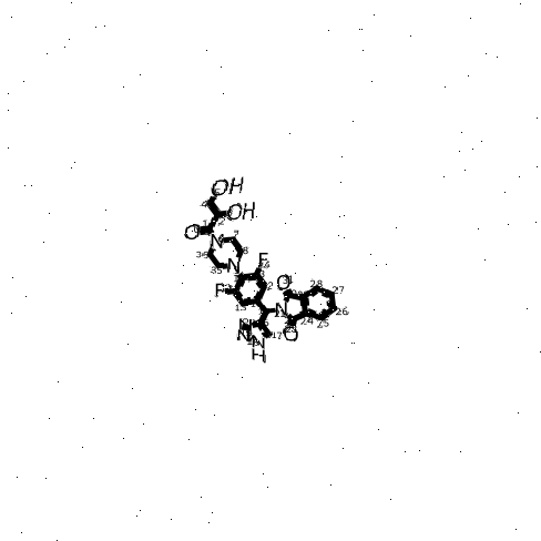 O=C(C(O)CO)N1CCN(c2c(F)cc(C(c3c[nH]nn3)N3C(=O)c4ccccc4C3=O)cc2F)CC1